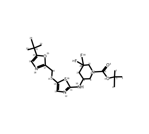 CC(C)(C)OC(=O)N1CC(Nc2ncc(SCc3ncc(C(C)(C)C)o3)s2)CC(F)(F)C1